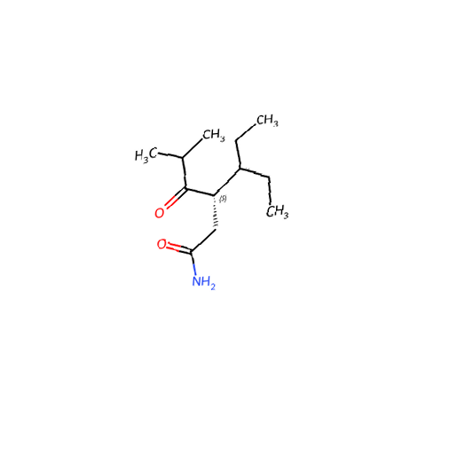 CCC(CC)[C@H](CC(N)=O)C(=O)C(C)C